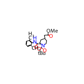 COC(=O)CC1CCN(C(=O)OC(C)(C)C)[C@H](C(=O)Nc2c(C)cccc2C)C1